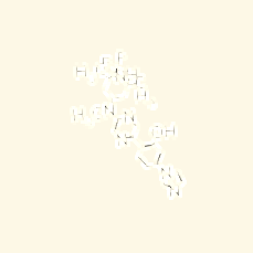 CN(c1cnc(-c2ccc(-n3ccnc3)cc2O)cn1)[C@@H]1C[C@@]2(C)CC(F)(F)[C@@](C)(C1)N2